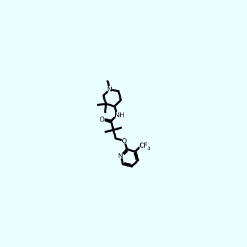 CN1CCC(NC(=O)C(C)(C)COc2ncccc2C(F)(F)F)C(C)(C)C1